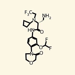 NC[C@H](C(=O)Nc1ccc(N2CCOCC2=O)c(OC(F)F)c1)N(CC(F)(F)F)C1CCC1